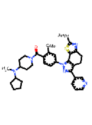 COc1cc(-n2nc(-c3cccnc3)c3c2-c2sc(NC(C)=O)nc2CC3)ccc1C(=O)N1CCC(N(C)C2CCCC2)CC1